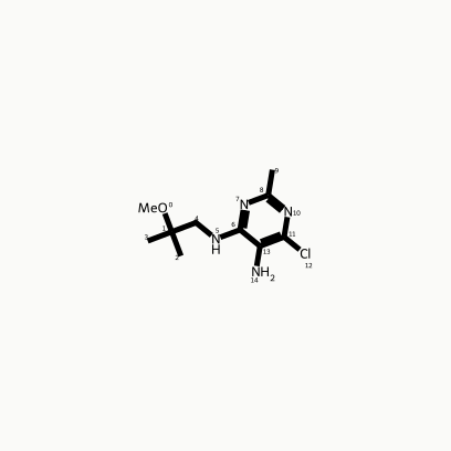 COC(C)(C)CNc1nc(C)nc(Cl)c1N